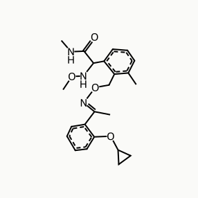 CNC(=O)C(NOC)c1cccc(C)c1CO/N=C(\C)c1ccccc1OC1CC1